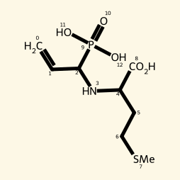 C=CC(NC(CCSC)C(=O)O)P(=O)(O)O